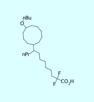 CCCCOC1CCCCCC(C(CCC)CCCCCCC(F)(F)C(=O)O)CCC1